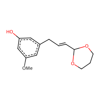 COc1cc(O)cc(CC=CC2OCCCO2)c1